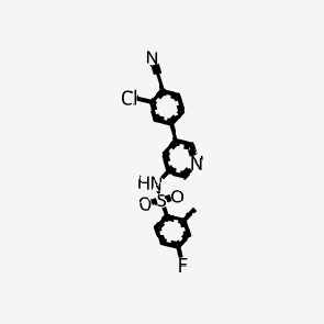 Cc1cc(F)ccc1S(=O)(=O)Nc1cncc(-c2ccc(C#N)c(Cl)c2)c1